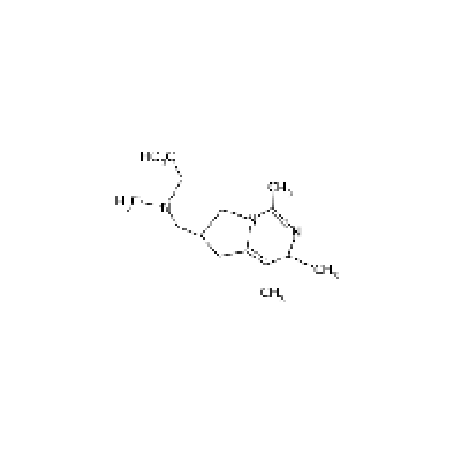 CC1=NC(C)C(C)=C2CC(CN(C)CC(=O)O)CN12